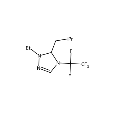 CCN1N=CN(C(F)(F)C(F)(F)F)C1CC(C)C